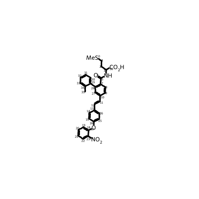 CSCCC(NC(=O)c1ccc(C=Cc2ccc(Oc3ccccc3[N+](=O)[O-])cc2)cc1-c1ccccc1C)C(=O)O